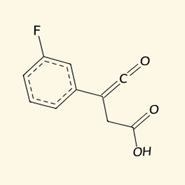 O=C=C(CC(=O)O)c1cccc(F)c1